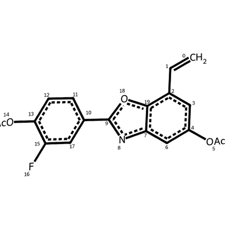 C=Cc1cc(OC(C)=O)cc2nc(-c3ccc(OC(C)=O)c(F)c3)oc12